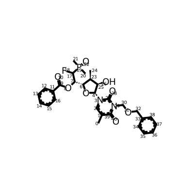 Cc1cn([C@@H]2O[C@H](C(OC(=O)c3ccccc3)C(F)P(C)(C)=O)[C@@H](C)[C@H]2O)c(=O)n(COCc2ccccc2)c1=O